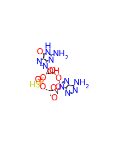 Nc1nc2c(ncn2C2OC3OCOC4C5OC[C@]4(COP(=O)(S)OC2C3O)OC5n2cnc3c(N)ncnc32)c(=O)[nH]1